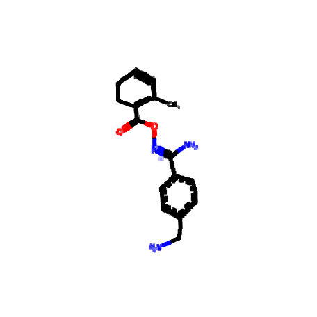 CC1=C(C(=O)O/N=C(\N)c2ccc(CN)cc2)CCC=C1